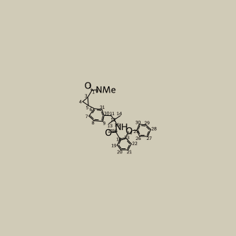 CNC(=O)C1CC1c1cccc(CC(C)(C)NC(=O)c2ccccc2Oc2ccccc2)c1